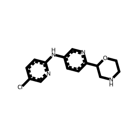 Clc1ccc(Nc2ccc(C3CNCCO3)nc2)nc1